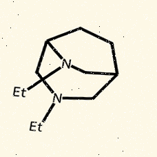 CCN1CC2CCC(C1)N(CC)C2